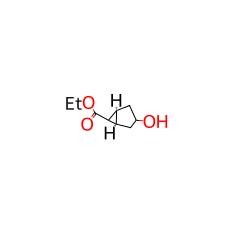 CCOC(=O)C1[C@H]2CC(O)C[C@@H]12